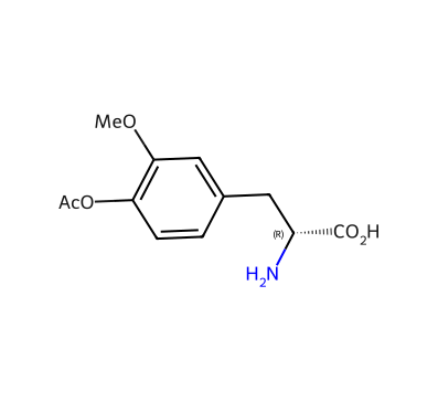 COc1cc(C[C@@H](N)C(=O)O)ccc1OC(C)=O